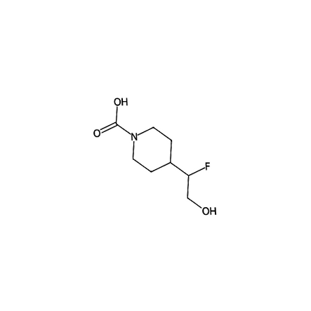 O=C(O)N1CCC(C(F)CO)CC1